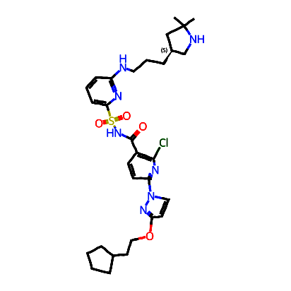 CC1(C)C[C@H](CCCNc2cccc(S(=O)(=O)NC(=O)c3ccc(-n4ccc(OCCC5CCCC5)n4)nc3Cl)n2)CN1